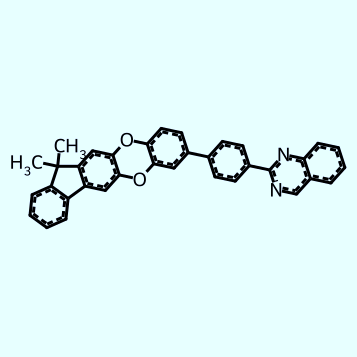 CC1(C)c2ccccc2-c2cc3c(cc21)Oc1ccc(-c2ccc(-c4ncc5ccccc5n4)cc2)cc1O3